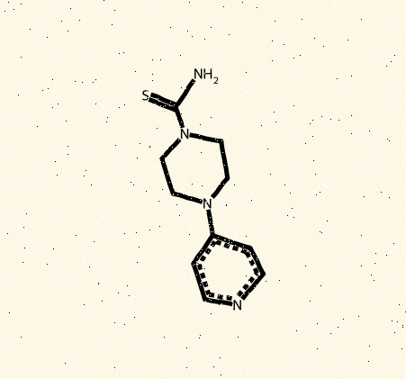 NC(=S)N1CCN(c2ccncc2)CC1